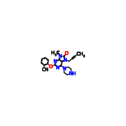 CC#CCn1c(=O)n(C)c2nc(Oc3ccccc3C#N)nc(N3CCNCC3)c21